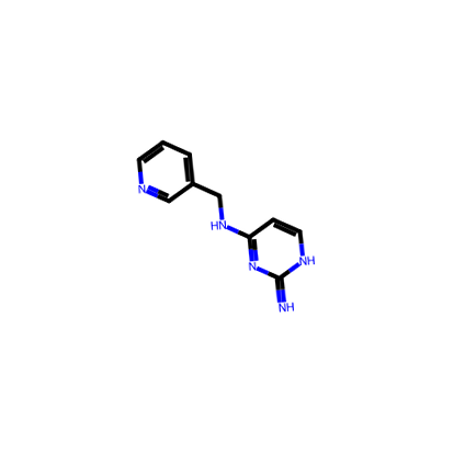 N=c1nc(NCc2cccnc2)cc[nH]1